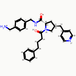 NCc1ccc(CNC(=O)[C@@H]2C[C@@H](Cc3ccncc3)CN2C(=O)CCCc2ccccc2)cc1